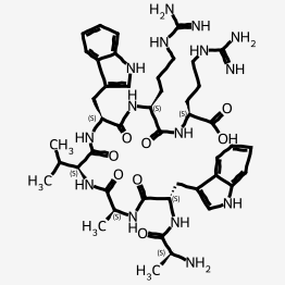 CC(C)[C@H](NC(=O)[C@H](C)NC(=O)[C@H](Cc1c[nH]c2ccccc12)NC(=O)[C@H](C)N)C(=O)N[C@@H](Cc1c[nH]c2ccccc12)C(=O)N[C@@H](CCCNC(=N)N)C(=O)N[C@@H](CCCNC(=N)N)C(=O)O